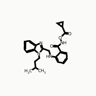 CC(C)CCn1c(CNc2ccccc2C(=O)NOC(=O)C2CC2)nc2ccccc21